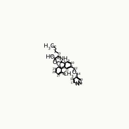 CSCC[C@H](NC(=O)c1ccc(COCc2ccnnc2)cc1-c1ccccc1C)C(=O)O